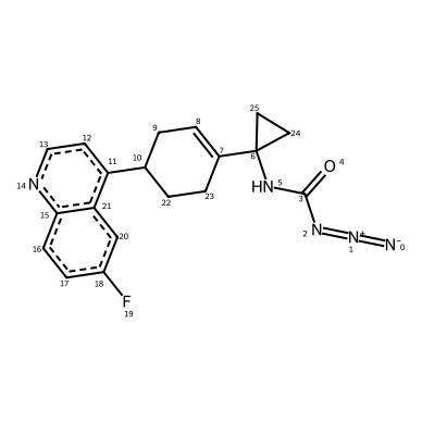 [N-]=[N+]=NC(=O)NC1(C2=CCC(c3ccnc4ccc(F)cc34)CC2)CC1